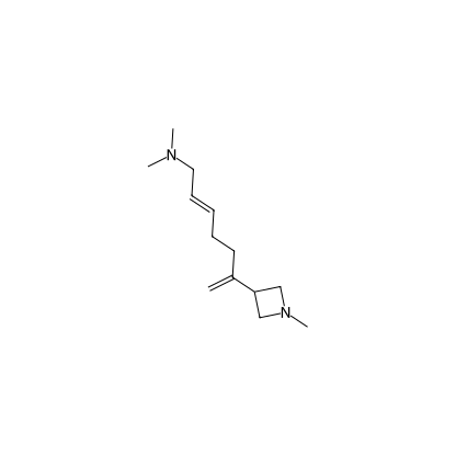 C=C(CCC=CCN(C)C)C1CN(C)C1